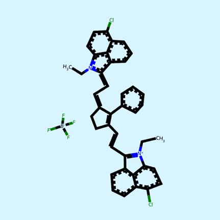 CCn1/c(=C\C=C2\CCC(/C=C/C3=[N+](CC)c4ccc(Cl)c5cccc3c45)=C2c2ccccc2)c2cccc3c(Cl)ccc1c32.F[B-](F)(F)F